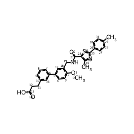 COc1ccc(-c2cccc(CCC(=O)O)c2)cc1CNC(=O)c1sc(-c2ccc(C)cc2)nc1C